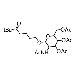 CC(=O)NC1C(OCCCCC(=O)C(C)(C)C)OC(COC(C)=O)C(OC(C)=O)C1OC(C)=O